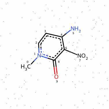 Cn1ccc(N)c([N+](=O)[O-])c1=O